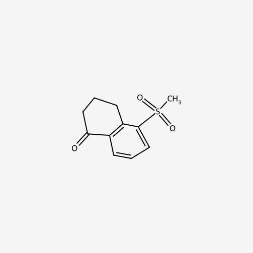 CS(=O)(=O)c1cccc2c1CCCC2=O